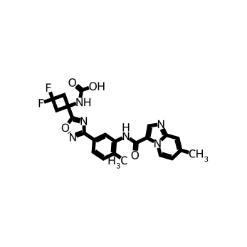 Cc1ccn2c(C(=O)Nc3cc(-c4noc(C5(NC(=O)O)CC(F)(F)C5)n4)ccc3C)cnc2c1